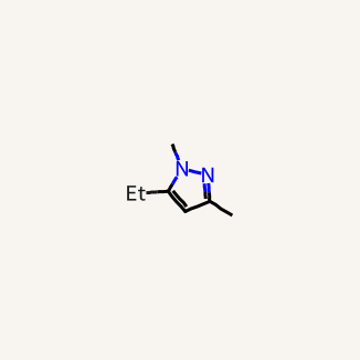 [CH2]Cc1cc(C)nn1C